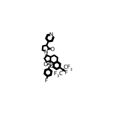 O=C1C(c2ccncc2)CCN1[C@@H]1CC[C@@]2(S(=O)(=O)c3ccc(F)cc3)c3ccc(C(F)(C(F)(F)F)C(F)(F)F)cc3CCC12